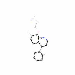 CN(C)CCOc1c(Br)ccc2c(-c3ccccc3)ccnc12